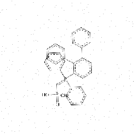 O=P(O)(O)C=P(c1ccccc1)(c1ccccc1)c1cccc(-c2ccccc2)c1-c1ccccc1